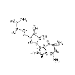 CC(C)[C@H](N)C(=O)OCC1O[C@@H](n2c(=O)sc3c(N)nc(N)nc32)[C@H](O)[C@@H]1O